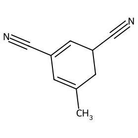 CC1=CC(C#N)=CC(C#N)C1